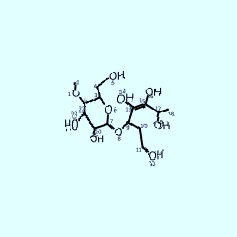 COC1C(CO)OC(OC(CCO)/C(O)=C(/O)C(C)O)C(O)C1O